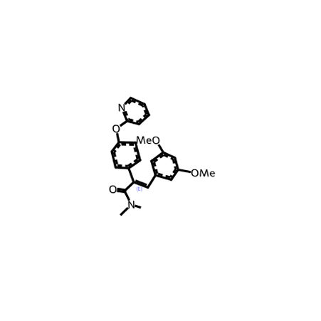 COc1cc(/C=C(/C(=O)N(C)C)c2ccc(Oc3ccccn3)cc2)cc(OC)c1